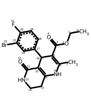 CCOC(=O)C1=C(C)NC2=C(C(=O)NCC2)C1c1ccc(F)c(Br)c1